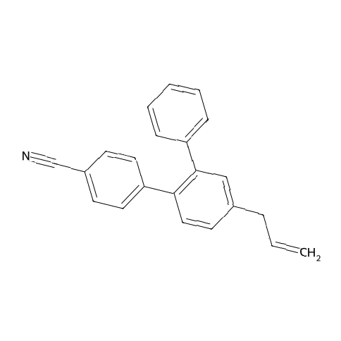 C=CCc1ccc(-c2ccc(C#N)cc2)c(-c2ccccc2)c1